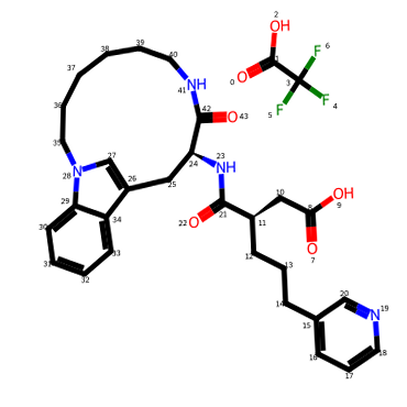 O=C(O)C(F)(F)F.O=C(O)C[C@@H](CCCc1cccnc1)C(=O)N[C@H]1Cc2cn(c3ccccc23)CCCCCCNC1=O